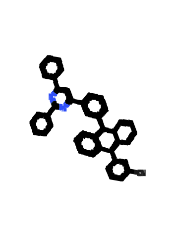 N#Cc1cccc(C2=C3C=CC=CC3C(c3cccc(-c4cc(-c5ccccc5)nc(-c5ccccc5)n4)c3)c3ccccc32)c1